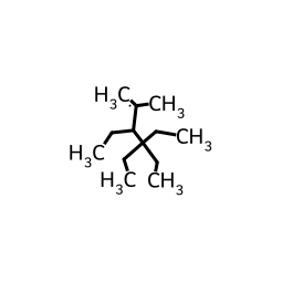 CCC([C](C)C)C(CC)(CC)CC